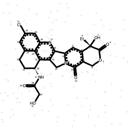 CC[C@@]1(O)C(=O)OCc2c1cc1n(c2=O)Cc2c-1nc1cc(Cl)cc3c1c2[C@H](NC(=O)CO)CC3